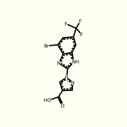 O=C(O)c1cnn(-c2nc3c(Br)cc(C(F)(F)F)cc3[nH]2)c1